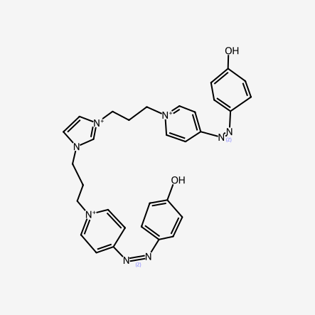 Oc1ccc(/N=N\c2cc[n+](CCCn3cc[n+](CCC[n+]4ccc(/N=N\c5ccc(O)cc5)cc4)c3)cc2)cc1